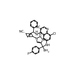 BC(Nc1cc(Cl)c2ncc(C#N)c(NC(c3ccccc3)C3C[C@@H]3C#N)c2c1)(C1=CN(C2CC2)NN1)c1ccc(F)cc1